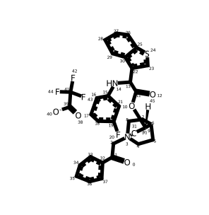 O=C(C[N+]12CCC(CC1)[C@@H](OC(=O)C(Nc1cccc(F)c1)c1csc3ccccc13)C2)c1ccccc1.O=C([O-])C(F)(F)F